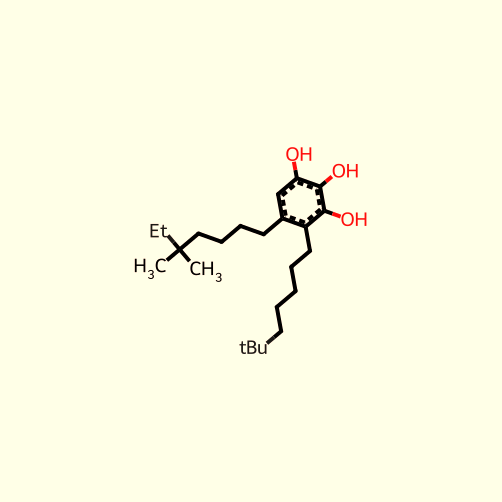 CCC(C)(C)CCCCc1cc(O)c(O)c(O)c1CCCCCC(C)(C)C